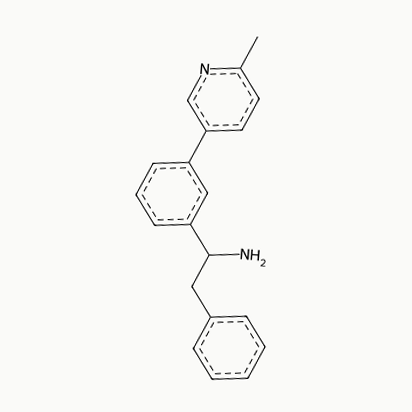 Cc1ccc(-c2cccc(C(N)Cc3ccccc3)c2)cn1